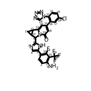 Nc1ccc(-c2cnc(C3C4CC4c4cc(-c5cc(Cl)ccc5-n5cnnn5)cc(=O)n43)[nH]2)c(F)c1C(F)(F)F